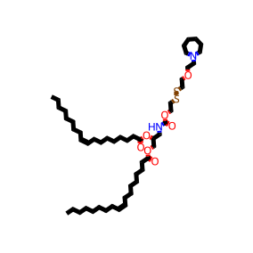 CCCCCCCC/C=C\CCCCCCCC(=O)OCC(CNC(=O)OCCSSCCOCCN1CCCCCC1)OC(=O)CCCCCCC/C=C\CCCCCCCC